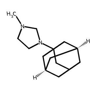 CN1CCN(C23CC4C[C@H](C2)C[C@@H](C4)C3)C1